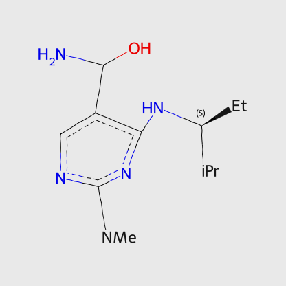 CC[C@H](Nc1nc(NC)ncc1C(N)O)C(C)C